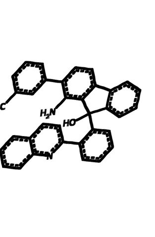 Cc1cccc(-c2ccc3c(c2N)C(O)(c2ccccc2-c2ccc4ccccc4n2)c2ccccc2-3)c1